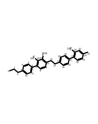 CCCc1ccc(-c2ccc(CCc3ccc(-c4ccc(C)cc4F)cc3)c(F)c2F)cc1